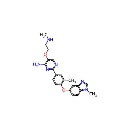 CNCCOc1cnc(-c2ccc(Oc3ccc4c(c3)ncn4C)c(C)c2)nc1N